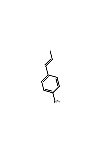 CC=Cc1ccc(CCC)cc1